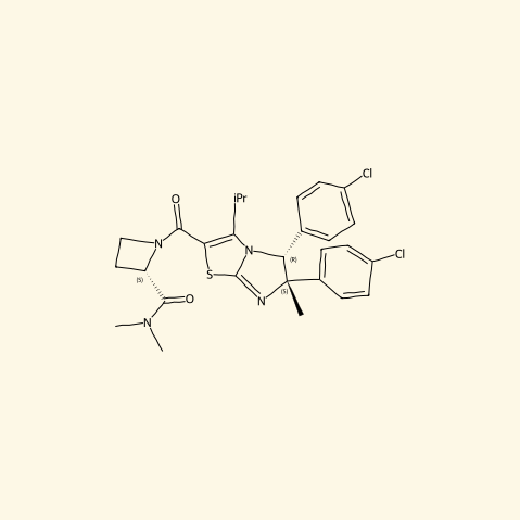 CC(C)C1=C(C(=O)N2CC[C@H]2C(=O)N(C)C)SC2=N[C@@](C)(c3ccc(Cl)cc3)[C@@H](c3ccc(Cl)cc3)N21